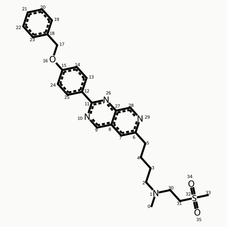 CN(CCCCc1cc2cnc(-c3ccc(OCc4ccccc4)cc3)nc2cn1)CCS(C)(=O)=O